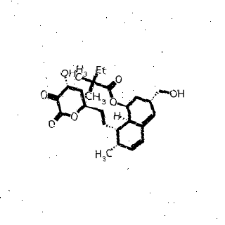 CCC(C)(C)C(=O)O[C@H]1C[C@H](CO)C=C2C=C[C@H](C)[C@H](CC[C@@H]3C[C@@H](O)C(=O)C(=O)O3)[C@H]21